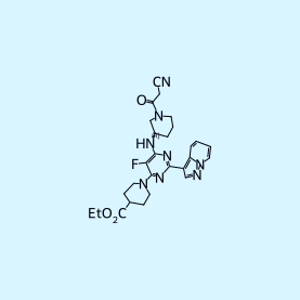 CCOC(=O)C1CCN(c2nc(-c3cnn4ccccc34)nc(N[C@@H]3CCCN(C(=O)CC#N)C3)c2F)CC1